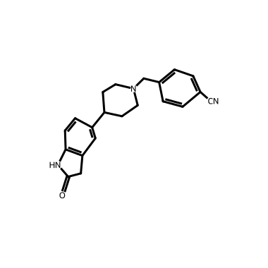 N#Cc1ccc(CN2CCC(c3ccc4c(c3)CC(=O)N4)CC2)cc1